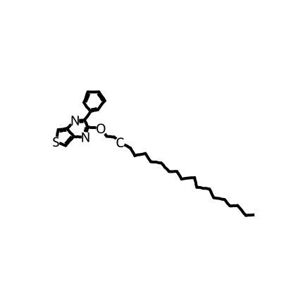 CCCCCCCCCCCCCCCCCCCCOc1nc2cscc2nc1-c1ccccc1